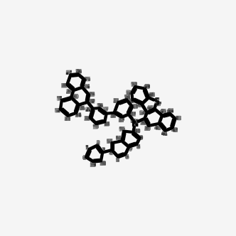 c1ccc(-c2ccc3ccc(N(c4cccc(-c5cccc(-c6cc7ccccc7c7ccccc67)c5)c4)c4cc5ccccc5c5sc6ccccc6c45)cc3c2)cc1